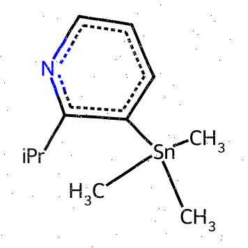 CC(C)c1nccc[c]1[Sn]([CH3])([CH3])[CH3]